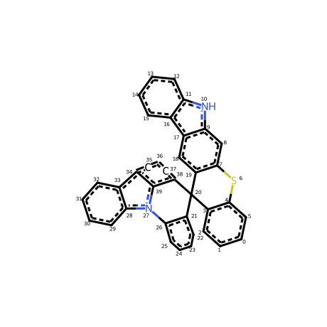 c1ccc2c(c1)Sc1cc3[nH]c4ccccc4c3cc1C21c2ccccc2-n2c3ccccc3c3cccc1c32